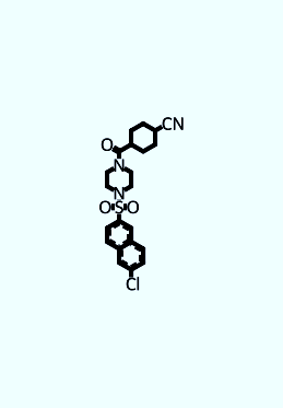 N#CC1CCC(C(=O)N2CCN(S(=O)(=O)c3ccc4cc(Cl)ccc4c3)CC2)CC1